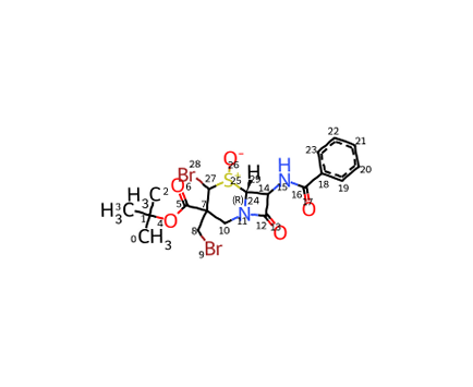 CC(C)(C)OC(=O)C1(CBr)CN2C(=O)C(NC(=O)c3ccccc3)[C@H]2[S+]([O-])C1Br